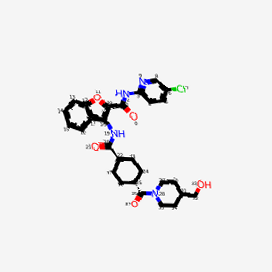 O=C(Nc1ccc(Cl)cn1)c1oc2ccccc2c1NC(=O)[C@H]1CC[C@H](C(=O)N2CCC(CO)CC2)CC1